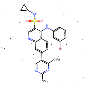 COc1ncc(-c2ccc3c(Nc4cccc(Br)c4)c(S(=O)(=O)NC4CC4)cnc3c2)c(OC)n1